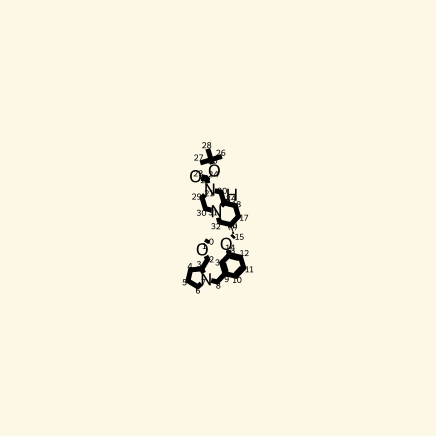 COCC1CCCN1Cc1cccc(OC[C@H]2CC[C@H]3CN(C(=O)OC(C)(C)C)CCN3C2)c1